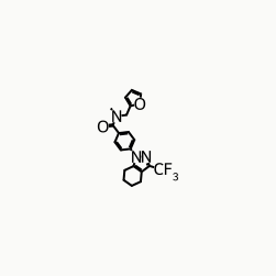 CN(Cc1ccco1)C(=O)c1ccc(-n2nc(C(F)(F)F)c3c2CCCC3)cc1